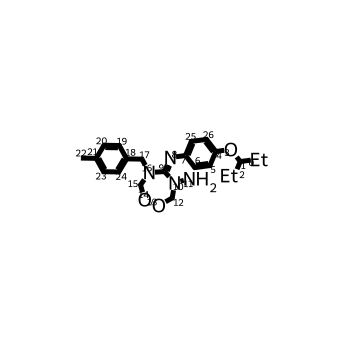 CCC(CC)Oc1ccc(/N=C2\N(N)COOCN2Cc2ccc(C)cc2)cc1